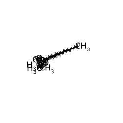 CCCCCCCCCCCCCCCCCCCC(=O)OC(CC(=O)[O-])C[N+](C)(C)C